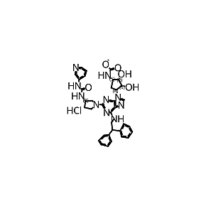 COC(=O)N[C@H]1C[C@@H](n2cnc3c(NCC(c4ccccc4)c4ccccc4)nc(N4CC[C@@H](NC(=O)Nc5cccnc5)C4)nc32)[C@H](O)[C@@H]1O.Cl